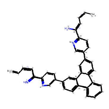 C=C/C=C\C(=N)c1ccc(-c2ccc3c4ccccc4c4ccc(-c5ccc(/C(N)=C/C=C\C)nc5)cc4c3c2)cn1